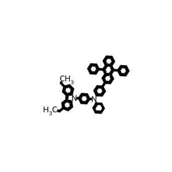 CCc1ccc2c(c1)c1cc(CC)ccc1n2-c1ccc(N(C2=CC=CCC2)c2ccc(-c3ccc4c(-c5ccccc5)c5ccccc5c(-c5ccccc5)c4c3)cc2)cc1